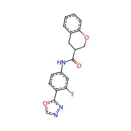 O=C(Nc1ccc(-c2nnco2)c(F)c1)C1COc2ccccc2C1